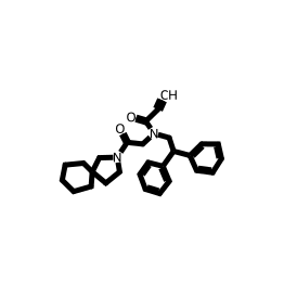 C#CC(=O)N(CC(=O)N1CCC2(CCCCC2)C1)CC(c1ccccc1)c1ccccc1